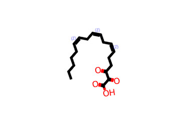 CCCCC/C=C\C/C=C\C/C=C\CCC(=O)C(=O)C(=O)O